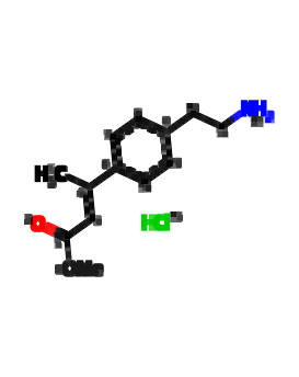 COC(=O)C=C(C)c1ccc(CCN)cc1.Cl